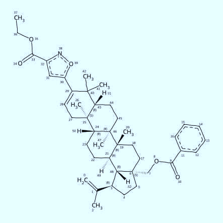 C=C(C)[C@@H]1CC[C@]2(COC(=O)c3ccccc3)CC[C@]3(C)[C@H](CC[C@@H]4[C@@]5(C)CC=C(c6cc(C(=O)OCC)no6)C(C)(C)[C@@H]5CC[C@]43C)[C@@H]12